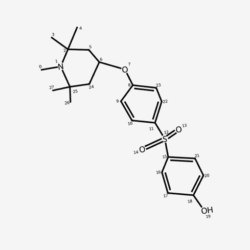 CN1C(C)(C)CC(Oc2ccc(S(=O)(=O)c3ccc(O)cc3)cc2)CC1(C)C